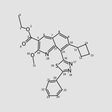 CCOC(=O)c1cc2ccc(C3CCC3)c(-c3nnc(-c4ccccc4)s3)c2nc1OC